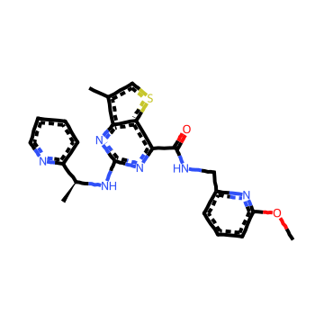 COc1cccc(CNC(=O)c2nc(N[C@@H](C)c3ccccn3)nc3c(C)csc23)n1